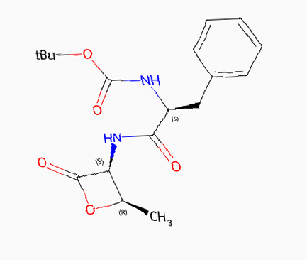 C[C@H]1OC(=O)[C@H]1NC(=O)[C@H](Cc1ccccc1)NC(=O)OC(C)(C)C